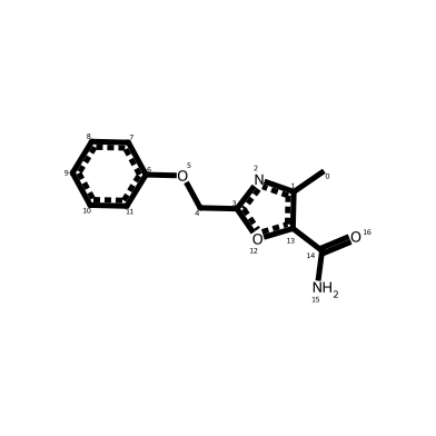 Cc1nc(COc2ccccc2)oc1C(N)=O